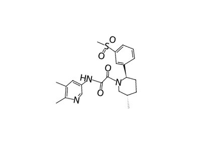 Cc1cc(NC(=O)C(=O)N2C[C@@H](C)CC[C@@H]2c2cccc(S(C)(=O)=O)c2)cnc1C